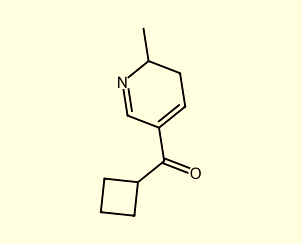 CC1CC=C(C(=O)C2CCC2)C=N1